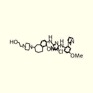 COc1ccc(Nc2nc(Nc3ccc4c(c3OC)CCCC(N3CCN(CCO)CC3)C4)ncc2Cl)c(-n2cccn2)c1